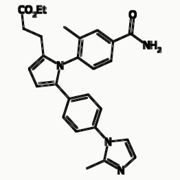 CCOC(=O)CCc1ccc(-c2ccc(-n3ccnc3C)cc2)n1-c1ccc(C(N)=O)cc1C